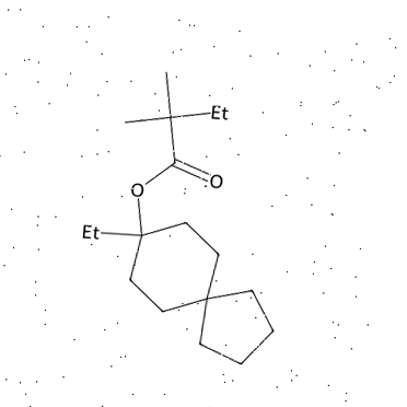 CCC1(OC(=O)C(C)(C)CC)CCC2(CCCC2)CC1